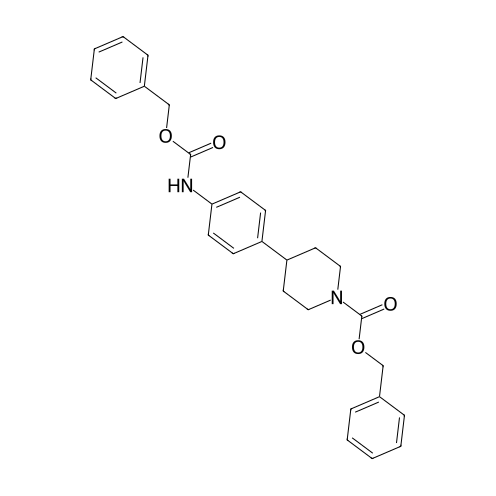 O=C(Nc1ccc(C2CCN(C(=O)OCc3ccccc3)CC2)cc1)OCc1ccccc1